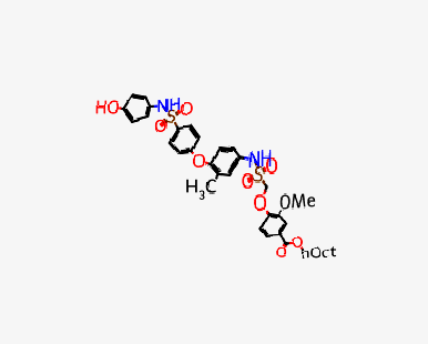 CCCCCCCCOC(=O)c1ccc(OCS(=O)(=O)Nc2ccc(Oc3ccc(S(=O)(=O)Nc4ccc(O)cc4)cc3)c(C)c2)c(OC)c1